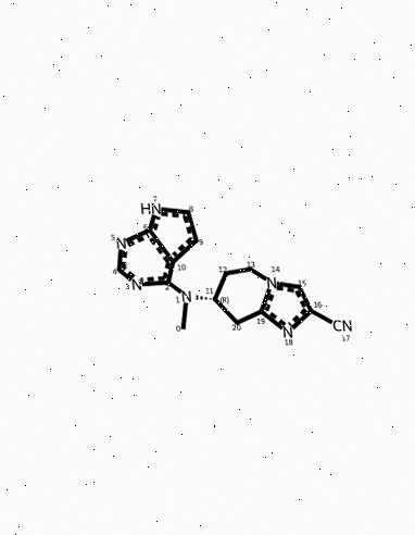 CN(c1ncnc2[nH]ccc12)[C@@H]1CCn2cc(C#N)nc2C1